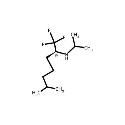 CC(C)CCC[C@H](NC(C)C)C(F)(F)F